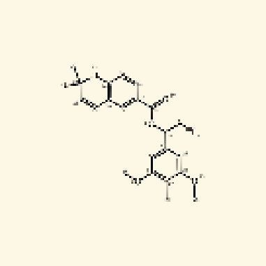 COc1cc(C(C[18F])OC(=O)c2ccc3c(c2)C=CC(C)(C)O3)cc(OC)c1C